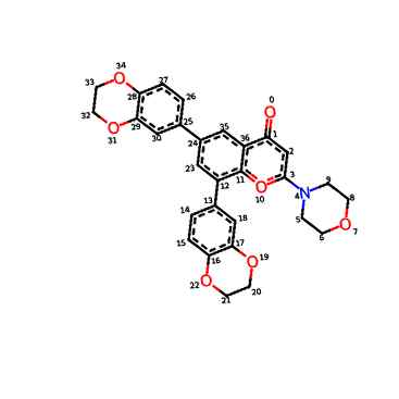 O=c1cc(N2CCOCC2)oc2c(-c3ccc4c(c3)OCCO4)cc(-c3ccc4c(c3)OCCO4)cc12